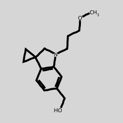 COCCCN1CC2(CC2)c2ccc(CO)cc21